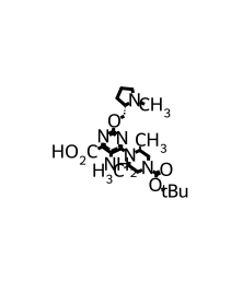 C[C@H]1CN(C(=O)OC(C)(C)C)C[C@H](C)N1c1nc(OC[C@@H]2CCCN2C)nc(C(=O)O)c1N